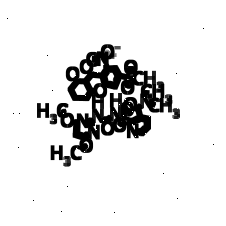 COc1cc(OC)nc(NC(=O)NS(=O)(=O)c2ncccc2C(=O)N(C)C)n1.CS(=O)(=O)c1ccc(C(=O)C2C(=O)CCCC2=O)c([N+](=O)[O-])c1